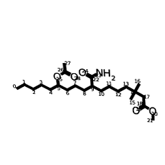 CCCCCC(CCCC(CCCCC(C)(C)CC(=O)OC)C(N)=O)OC(C)=O